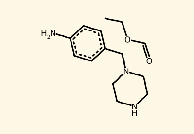 CCOC=O.Nc1ccc(CN2CCNCC2)cc1